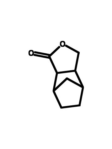 O=C1OCC2C3CCC(C3)C12